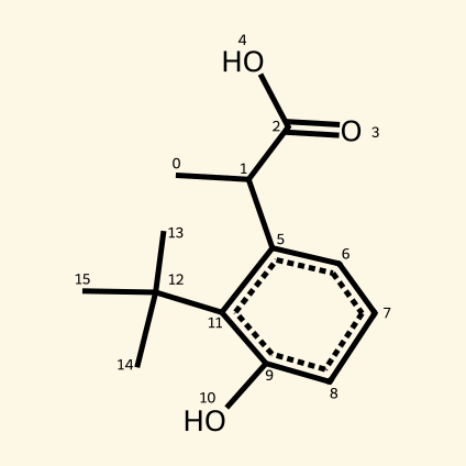 CC(C(=O)O)c1cccc(O)c1C(C)(C)C